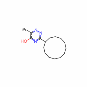 CC(C)c1nnc(C2CCCCCCCCCCC2)nc1O